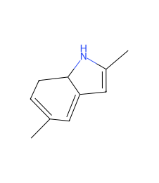 CC1=CCC2NC(C)=CC2=C1